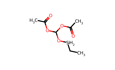 CC[SiH2]OC(OC(C)=O)OC(C)=O